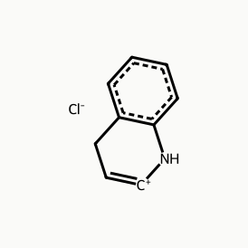 [C+]1=CCc2ccccc2N1.[Cl-]